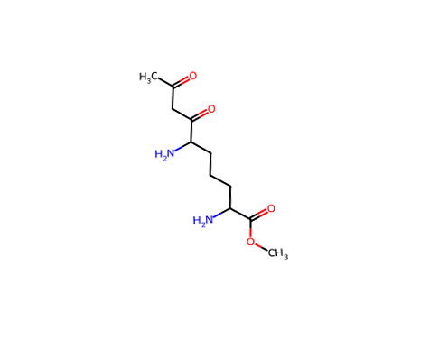 COC(=O)C(N)CCCC(N)C(=O)CC(C)=O